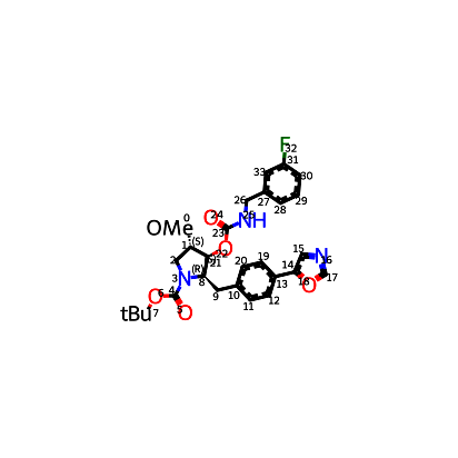 CO[C@H]1CN(C(=O)OC(C)(C)C)[C@H](Cc2ccc(-c3cnco3)cc2)[C@@H]1OC(=O)NCc1cccc(F)c1